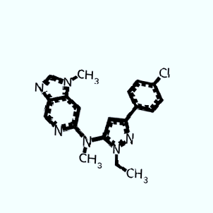 CCn1nc(-c2ccc(Cl)cc2)cc1N(C)c1cc2c(cn1)ncn2C